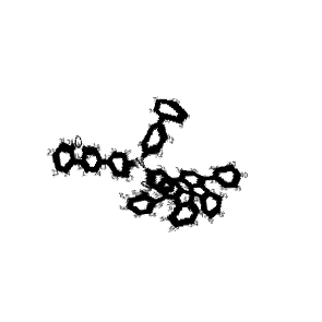 c1ccc(-c2ccc(N(c3ccc(-c4ccc5c(c4)oc4ccccc45)cc3)c3cccc(-c4ccc(-c5ccccc5)c5c4C4(c6ccccc6-5)c5ccccc5-c5c4ccc4sc6ccccc6c54)c3)cc2)cc1